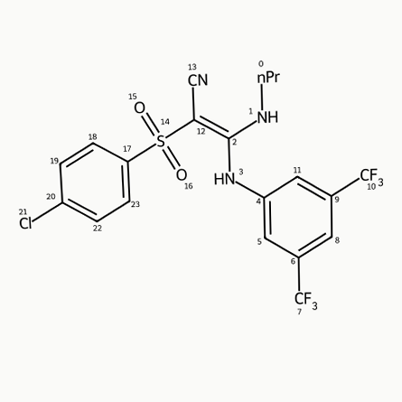 CCCNC(Nc1cc(C(F)(F)F)cc(C(F)(F)F)c1)=C(C#N)S(=O)(=O)c1ccc(Cl)cc1